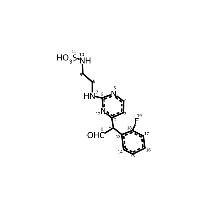 O=[C]C(c1ccnc(NCCNS(=O)(=O)O)n1)c1ccccc1F